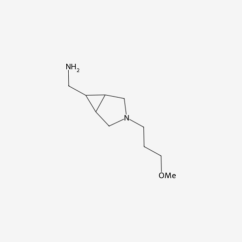 COCCCN1CC2C(CN)C2C1